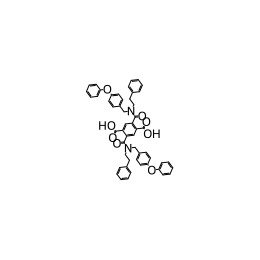 O=C(O)c1cc(C(=O)N(CCc2ccccc2)Cc2ccc(Oc3ccccc3)cc2)c(C(=O)O)cc1C(=O)N(CCc1ccccc1)Cc1ccc(Oc2ccccc2)cc1